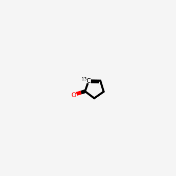 O=C1CCC=[13CH]1